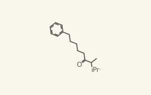 C[C](C)C(C)C(=O)CCCCCc1ccccc1